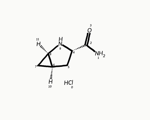 Cl.NC(=O)[C@@H]1C[C@H]2C[C@H]2N1